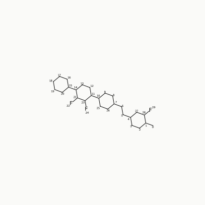 CC1CCC(CCC2CCC(C3CCC(C4CCCCC4)C(F)C3F)CC2)CC1F